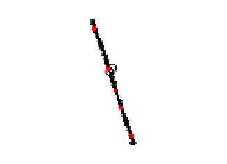 CCCCCCCCC=CCCCCCCCCCCCCCC(=O)OCCCCCCCCCCCCCCCCCCCCCCCCCCCCCCCC(C)C